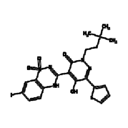 CC(C)(C)CCn1nc(-c2cccs2)c(O)c(C2=NS(=O)(=O)c3cc(I)ccc3N2)c1=O